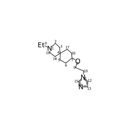 CCN1CCC2(CCC(OCCn3ccnc3)CC2)CC1